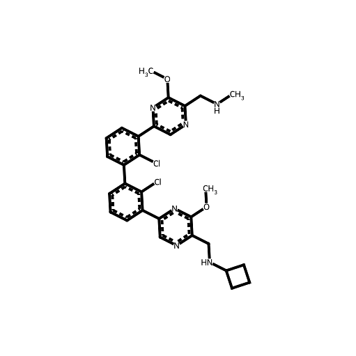 CNCc1ncc(-c2cccc(-c3cccc(-c4cnc(CNC5CCC5)c(OC)n4)c3Cl)c2Cl)nc1OC